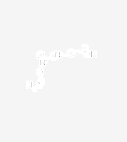 COCCOCCn1cc(C2CCN(CCc3ccc(CCC(=O)O)cc3)CC2)c2ccccc21